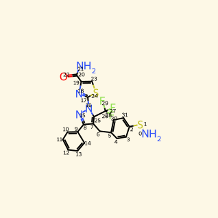 NSc1ccc(Cc2c(-c3ccccc3)nn(-c3nc(C(N)=O)cs3)c2C(F)(F)F)cc1